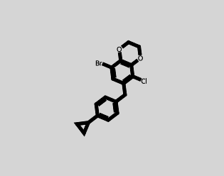 Clc1c(Cc2ccc(C3CC3)cc2)cc(Br)c2c1OCCO2